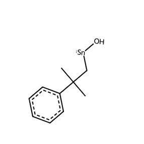 CC(C)([CH2][Sn][OH])c1ccccc1